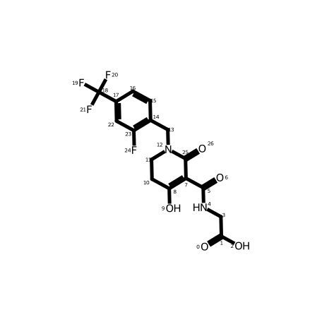 O=C(O)CNC(=O)C1=C(O)CCN(Cc2ccc(C(F)(F)F)cc2F)C1=O